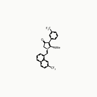 CNC1=C(c2cccc(C(F)(F)F)c2)C(=O)CS1=Cc1cccc2ccc(C(F)(F)F)cc12